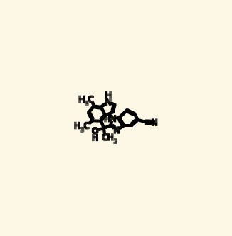 Cc1cc(C)c2[nH]ccc2c1C(C)(O)c1nc2cc(C#N)ccc2[nH]1